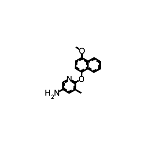 COc1ccc(Oc2ncc(N)cc2C)c2ccccc12